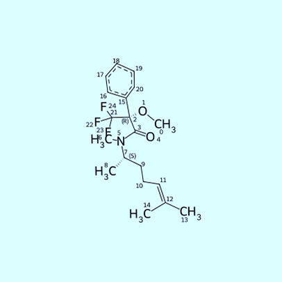 CO[C@@](C(=O)N(C)[C@@H](C)CCC=C(C)C)(c1ccccc1)C(F)(F)F